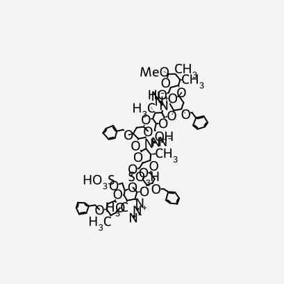 CO[C@H]1OC(CO)[C@@H](O[C@H]2C[C@H](OCc3ccccc3)[C@H](O[C@H]3OC(CO)[C@@H](O[C@H]4C[C@H](OCc5ccccc5)[C@@H](O[C@@H]5OC(COS(=O)(=O)O)[C@@H](O[C@H]6C[C@H](OCc7ccccc7)[C@H](O[C@@H]7OC(COS(=O)(=O)O)[C@@H](O[C@H]8C[C@H](OCc9ccccc9)[C@H](C)CO8)[C@H](C)C7N=[N+]=[N-])CO6)[C@H](C)C5N=[N+]=[N-])CO4)[C@H](C)C3N=[N+]=[N-])CO2)[C@H](C)C1C